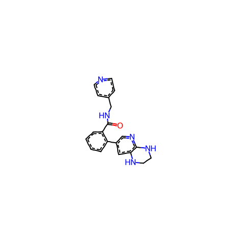 O=C(NCc1ccncc1)c1ccccc1-c1cnc2c(c1)NCCN2